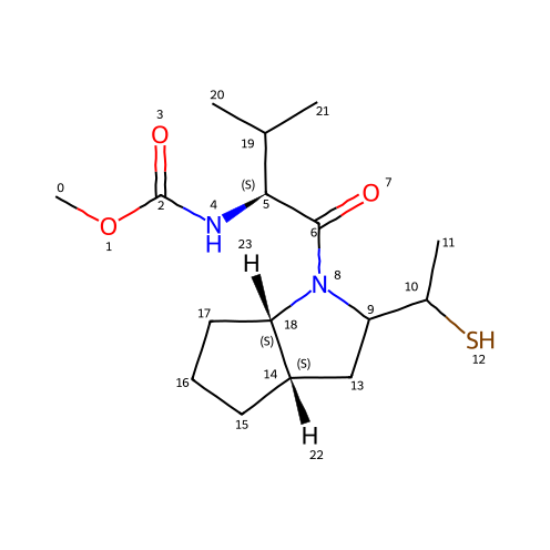 COC(=O)N[C@H](C(=O)N1C(C(C)S)C[C@@H]2CCC[C@@H]21)C(C)C